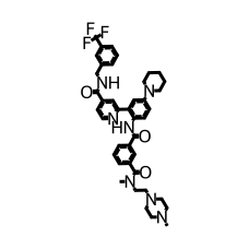 CN1CCN(CCN(C)C(=O)c2cccc(C(=O)Nc3ccc(N4CCCCC4)cc3-c3cc(C(=O)NCc4cccc(C(F)(F)F)c4)ccn3)c2)CC1